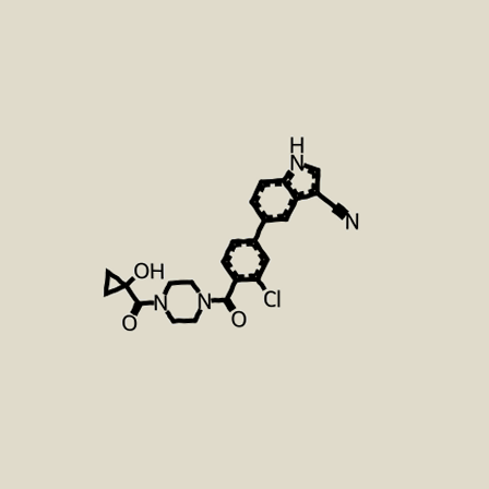 N#Cc1c[nH]c2ccc(-c3ccc(C(=O)N4CCN(C(=O)C5(O)CC5)CC4)c(Cl)c3)cc12